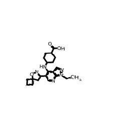 CCn1ncc2c(NC3CCC(C(=O)O)CC3)c(C3=NOC4(CCC4)C3)cnc21